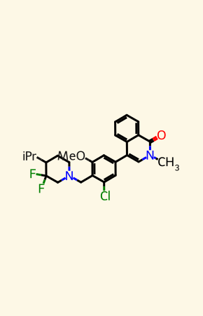 COc1cc(-c2cn(C)c(=O)c3ccccc23)cc(Cl)c1CN1CCC(C(C)C)C(F)(F)C1